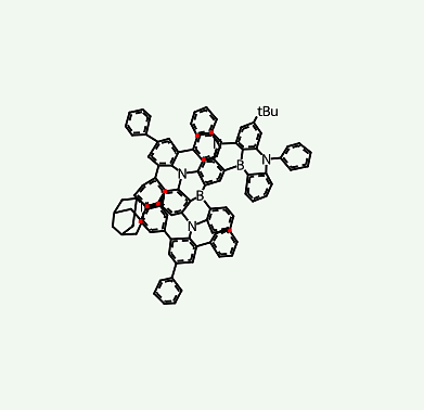 CC(C)(C)c1cc2c3c(c1)N(c1ccccc1)c1cc4c(cc1B3c1ccccc1N2c1ccccc1)B1c2ccccc2N(c2c(-c3ccccc3)cc(-c3ccccc3)cc2-c2ccccc2)c2cc(N3C5CC6CC(C5)CC3C6)cc(c21)N4c1c(-c2ccccc2)cc(-c2ccccc2)cc1-c1ccccc1